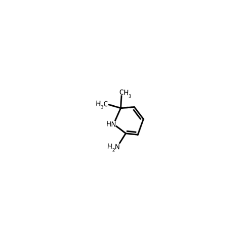 CC1(C)C=CC=C(N)N1